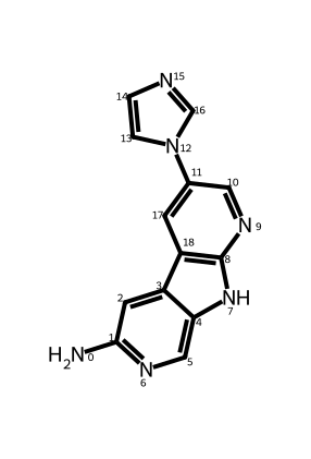 Nc1cc2c(cn1)[nH]c1ncc(-n3ccnc3)cc12